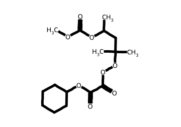 COC(=O)OC(C)CC(C)(C)OOC(=O)C(=O)OC1CCCCC1